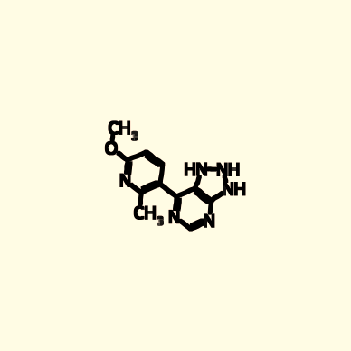 COc1ccc(-c2ncnc3c2NNN3)c(C)n1